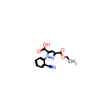 CCOC(=O)c1cc(C(=O)O)n(-c2ccccc2C#N)n1